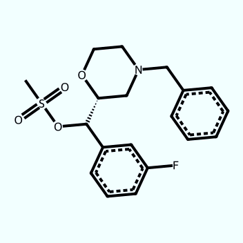 CS(=O)(=O)OC(c1cccc(F)c1)[C@H]1CN(Cc2ccccc2)CCO1